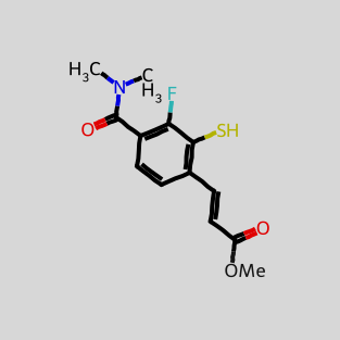 COC(=O)C=Cc1ccc(C(=O)N(C)C)c(F)c1S